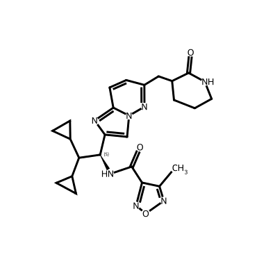 Cc1nonc1C(=O)N[C@H](c1cn2nc(CC3CCCNC3=O)ccc2n1)C(C1CC1)C1CC1